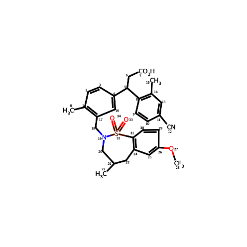 Cc1ccc(C(CC(=O)O)c2ccc(C#N)cc2C)cc1CN1CC(C)Cc2cc(OC(F)(F)F)ccc2S1(=O)=O